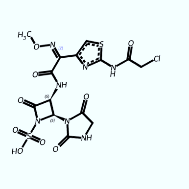 CO/N=C(\C(=O)N[C@@H]1C(=O)N(S(=O)(=O)O)[C@@H]1N1C(=O)CNC1=O)c1csc(NC(=O)CCl)n1